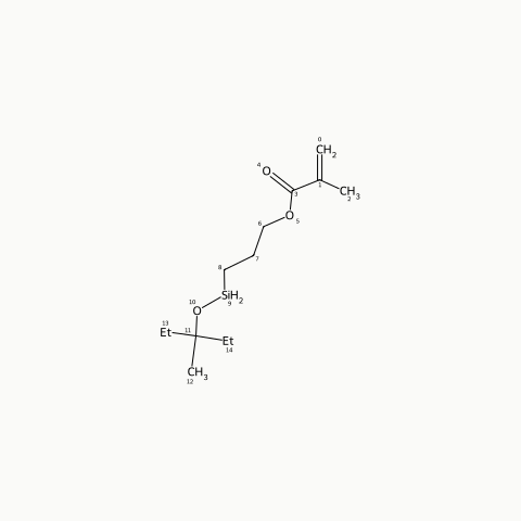 C=C(C)C(=O)OCCC[SiH2]OC(C)(CC)CC